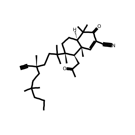 C#C[C@@](C)(CCC(C)(C)CCC)CCC(C)(C)[C@]1(C)CC[C@H]2C(C)(C)C(=O)C(C#N)=C[C@]2(C)[C@H]1CC(C)=O